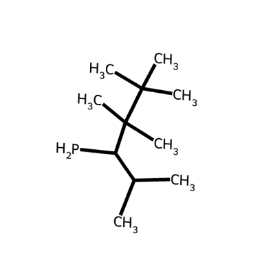 CC(C)C(P)C(C)(C)C(C)(C)C